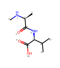 CN[C@@H](C)C(=O)N[C@H](C(=O)O)C(C)C